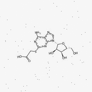 Nc1nc(SCC(=O)O)nc2c1ncn2[C@@H]1O[C@H](CO)[C@@H](O)[C@H]1O